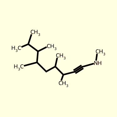 CNC#CC(C)C(C)CC(C)C(C)C(C)C